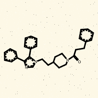 O=C(CCc1ccccc1)N1CCC(CCn2cnc(-c3ccccc3)c2-c2ccccc2)CC1